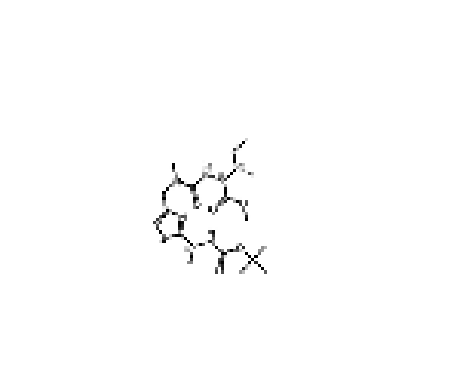 CC[C@H](C)[C@H](NC(=O)N(C)Cc1csc([C@H](C)NC(=O)OC(C)(C)C)n1)C(=O)OC